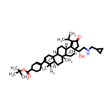 CC(C)C1=C2[C@H]3CC[C@@H]4[C@@]5(C)CC=C(C6=CCC(C(=O)OC(C)(C)C)CC6)C(C)(C)[C@@H]5CC[C@@]4(C)[C@]3(C)CC[C@@]2([C@@H](O)CNCC2CC2)CC1=O